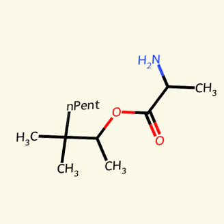 CCCCCC(C)(C)C(C)OC(=O)C(C)N